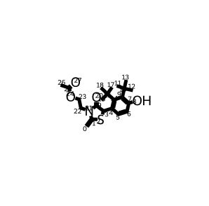 C=C1SC(c2ccc(O)c(C(C)(C)C)c2C(C)(C)C)C(=O)N1CCOC(C)=O